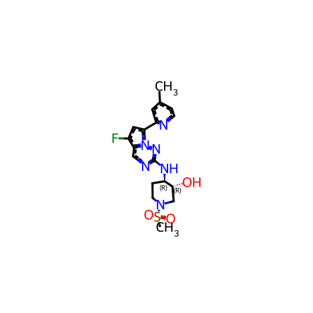 Cc1ccnc(-c2cc(F)c3cnc(N[C@@H]4CCN(S(C)(=O)=O)C[C@H]4O)nn23)c1